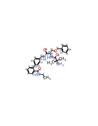 CCNC(=O)c1ccccc1-c1ccc(CNC(=O)[C@@H](COCc2ccccc2)NC(=O)C(C)(C)N)cc1